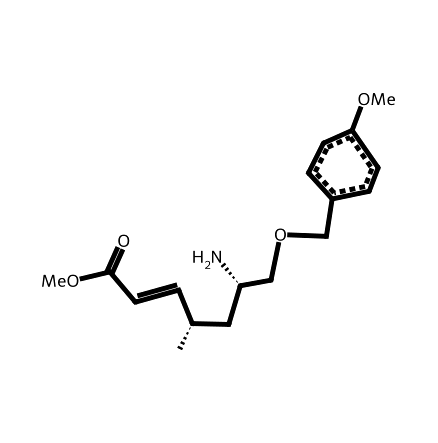 COC(=O)/C=C/[C@@H](C)C[C@H](N)COCc1ccc(OC)cc1